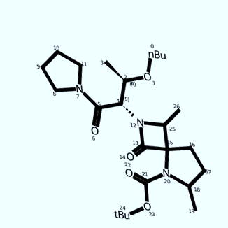 CCCCO[C@H](C)[C@@H](C(=O)N1CCCC1)N1C(=O)C2(CCC(C)N2C(=O)OC(C)(C)C)C1C